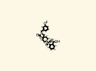 COc1cccc(CN2CC3(CCN(S(=O)(=O)c4ccccc4C(=O)O)CC3)OC2=O)c1